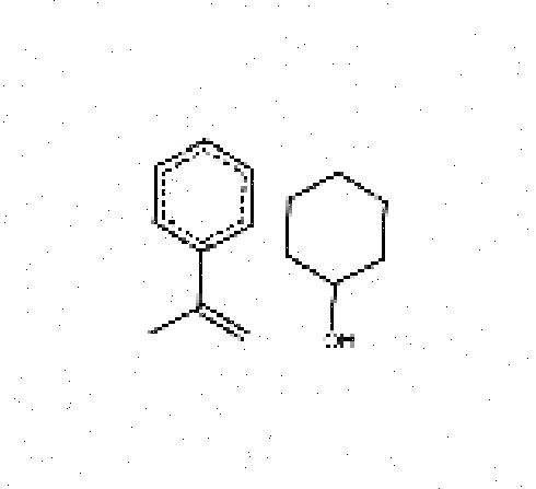 C=C(C)c1ccccc1.OC1CCCCC1